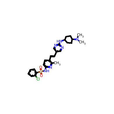 Cc1nc(NS(=O)(=O)c2ccccc2Cl)ccc1/C=C/c1cnc(NC2CCC(N(C)C)CC2)nc1